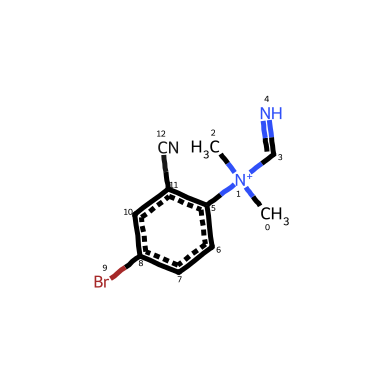 C[N+](C)(C=N)c1ccc(Br)cc1C#N